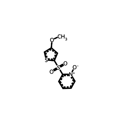 COc1csc(S(=O)(=O)c2cccc[n+]2[O-])c1